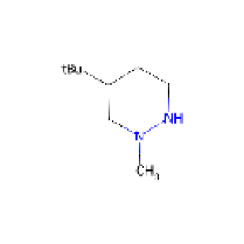 CN1CC(C(C)(C)C)CCN1